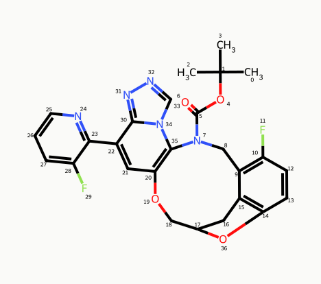 CC(C)(C)OC(=O)N1Cc2c(F)ccc3c2CC(COc2cc(-c4ncccc4F)c4nncn4c21)O3